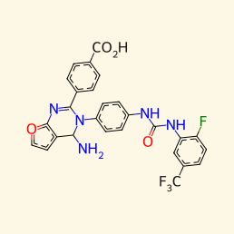 NC1c2ccoc2N=C(c2ccc(C(=O)O)cc2)N1c1ccc(NC(=O)Nc2cc(C(F)(F)F)ccc2F)cc1